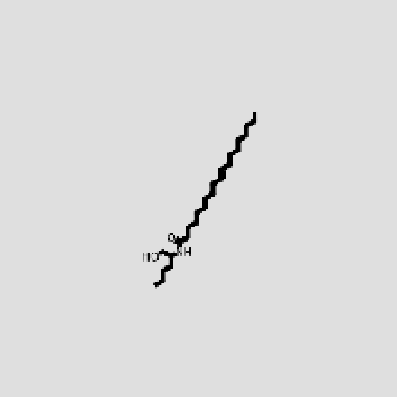 CCCCCCCCC=CCCCCCCCCC(=O)NC(CO)CCCC